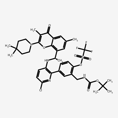 Cc1cc([C@@H](C)Nc2ccc(Cl)nc2-c2ccc(OS(=O)(=O)C(F)(F)F)c(CNC(=O)OC(C)(C)C)c2)c2oc(N3CCC(C)(C)CC3)c(C)c(=O)c2c1